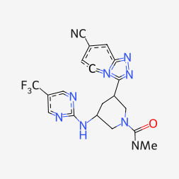 CNC(=O)N1CC(Nc2ncc(C(F)(F)F)cn2)CC(c2nnc3cc(C#N)ccn23)C1